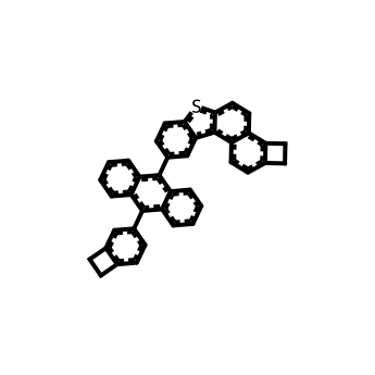 c1ccc2c(-c3ccc4sc5ccc6c7c(ccc6c5c4c3)CC7)c3ccccc3c(-c3ccc4c(c3)CC4)c2c1